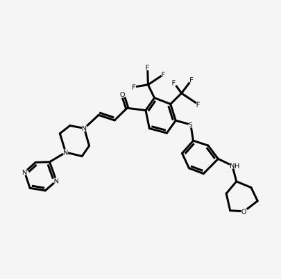 O=C(C=CN1CCN(c2cnccn2)CC1)c1ccc(Sc2cccc(NC3CCOCC3)c2)c(C(F)(F)F)c1C(F)(F)F